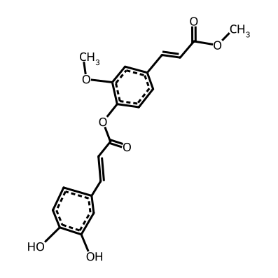 COC(=O)/C=C/c1ccc(OC(=O)/C=C/c2ccc(O)c(O)c2)c(OC)c1